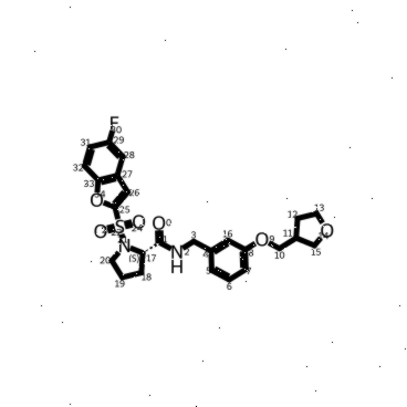 O=C(NCc1cccc(OCC2CCOC2)c1)[C@@H]1CCCN1S(=O)(=O)c1cc2cc(F)ccc2o1